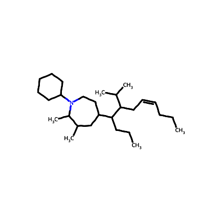 CCC/C=C\CC(C(C)C)C(CCC)C1CCN(C2CCCCC2)C(C)C(C)C1